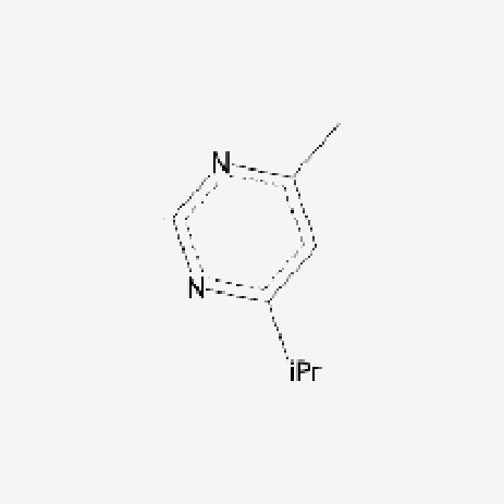 Cc1cc(C(C)C)n[c]n1